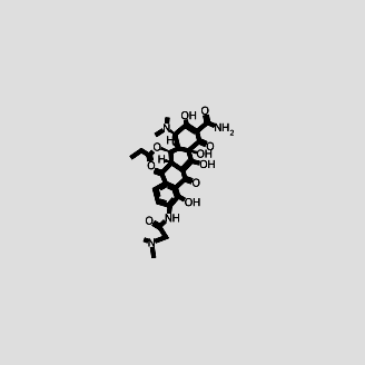 C=C1c2ccc(NC(=O)CN(C)C)c(O)c2C(=O)C2=C(O)[C@@]3(O)C(=O)C(C(N)=O)=C(O)[C@H](N(C)C)[C@H]3[C@H](OC(=O)CC)[C@@H]12